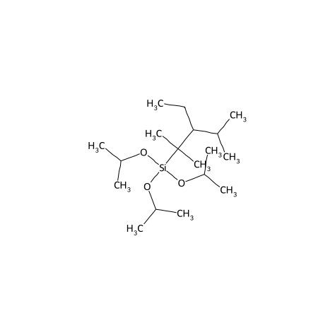 CCC(C(C)C)C(C)(C)[Si](OC(C)C)(OC(C)C)OC(C)C